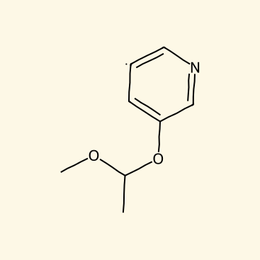 COC(C)Oc1c[c]cnc1